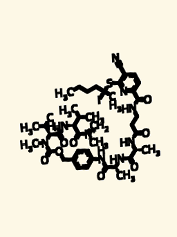 C=[N+](C)C(=O)[C@@H](NC(=O)[C@H](C(C)C)N(C)C(=O)OCc1ccc(NC(=O)[C@H](C)NC(=O)[C@H](C)NC(=O)CCNC(=O)c2ccc(C#N)c(SC(C)(I)CCCC)n2)cc1)C(C)C